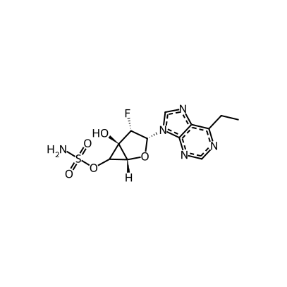 CCc1ncnc2c1ncn2[C@@H]1O[C@@H]2C(OS(N)(=O)=O)[C@]2(O)[C@@H]1F